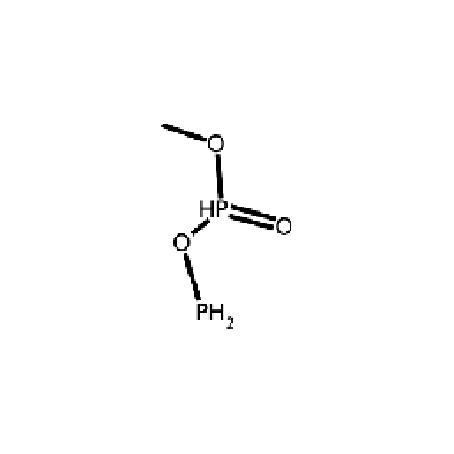 CO[PH](=O)OP